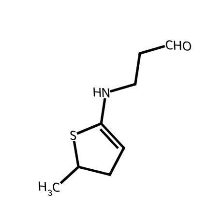 CC1CC=C(NCCC=O)S1